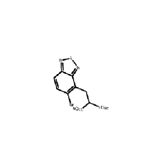 CCCCCCCCCCC(CCCCCCCC)Cc1c(Br)ccc2nsnc12